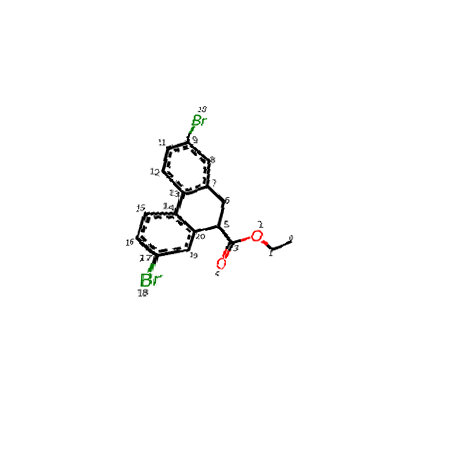 CCOC(=O)C1Cc2cc(Br)ccc2-c2ccc(Br)cc21